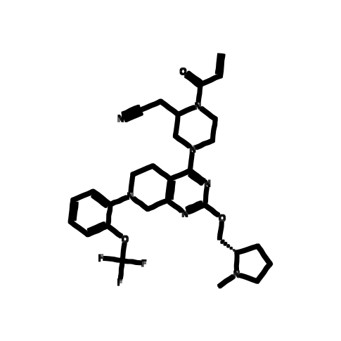 C=CC(=O)N1CCN(c2nc(OC[C@@H]3CCCN3C)nc3c2CCN(c2ccccc2OC(F)(F)F)C3)CC1CC#N